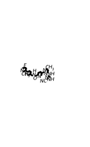 Cc1cc(Nc2c[nH]c(C#N)n2)nc(-c2ccc(C(=O)NCc3ccc(-c4cc(F)cnc4C)nc3)nc2)n1